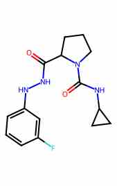 O=C(NNc1cccc(F)c1)C1CCCN1C(=O)NC1CC1